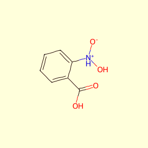 O=C(O)c1ccccc1[NH+]([O-])O